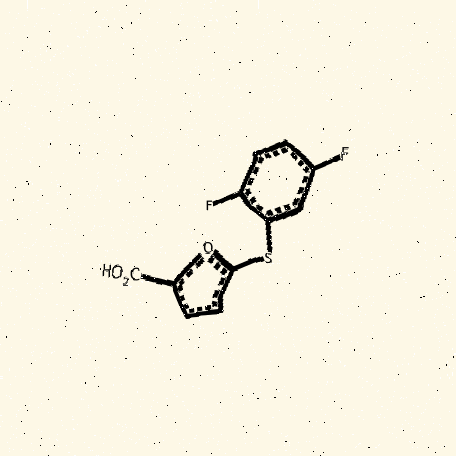 O=C(O)c1ccc(Sc2cc(F)ccc2F)o1